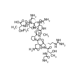 C[C@H](NC(=O)[C@@H]1CCCN1C(=O)[C@H](CC(N)=O)NC(=O)[C@H](CCCNC(=N)N)NC(=O)[C@@H](NC(=O)CN)[C@@H](C)O)C(=O)N[C@@H](CC(N)=O)C(=O)N[C@@H](CC(N)=O)C(=O)N[C@H](C(=O)N[C@H](C(=O)O)[C@@H](C)O)[C@@H](C)O